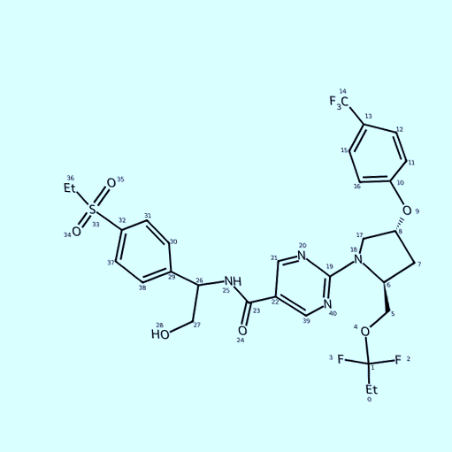 CCC(F)(F)OC[C@@H]1C[C@@H](Oc2ccc(C(F)(F)F)cc2)CN1c1ncc(C(=O)NC(CO)c2ccc(S(=O)(=O)CC)cc2)cn1